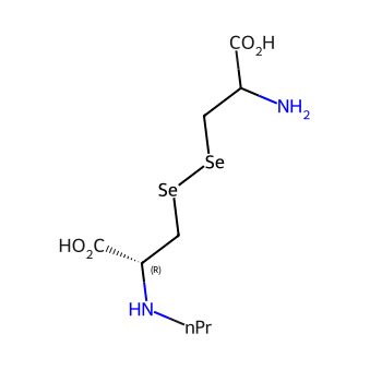 CCCN[C@@H](C[Se][Se]CC(N)C(=O)O)C(=O)O